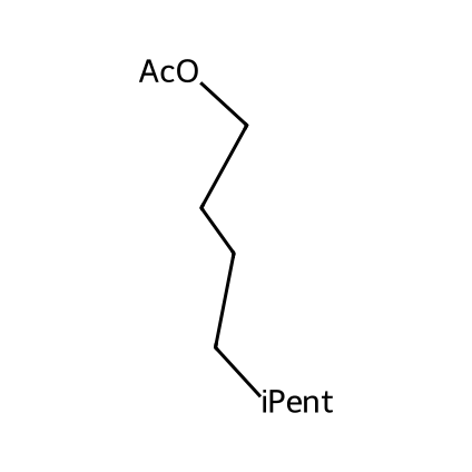 CCCC(C)CCCCOC(C)=O